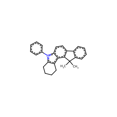 CC1(C)c2ccccc2-c2ccc3c(c4c(n3-c3ccccc3)CCCC4)c21